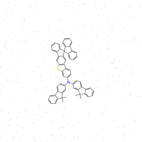 CC1(C)c2ccccc2-c2ccc(N(c3ccc4c(c3)C(C)(C)c3ccccc3-4)c3ccc4c(c3)sc3cc5c(cc34)C3(c4ccccc4-c4ccccc43)c3ccccc3-5)cc21